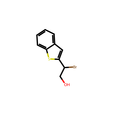 OCC(Br)c1cc2ccccc2s1